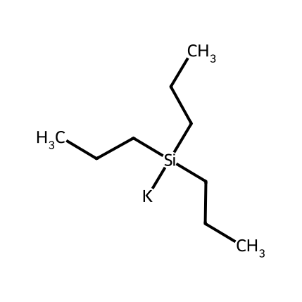 CCC[Si]([K])(CCC)CCC